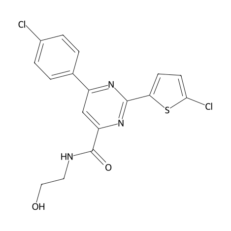 O=C(NCCO)c1cc(-c2ccc(Cl)cc2)nc(-c2ccc(Cl)s2)n1